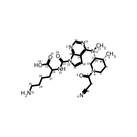 C[C@@H]1CCN(C(=O)CC#N)C[C@@H]1N(C)c1ncnc2c1ccn2C(=O)NC(CCCCN)C(=O)O